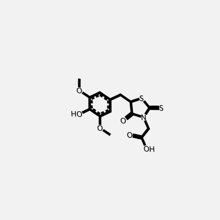 COc1cc(CC2SC(=S)N(CC(=O)O)C2=O)cc(OC)c1O